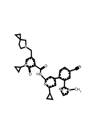 Cn1ccnc1-c1cc(C#N)ccc1-c1cc(NC(=O)c2cc(CN3CCC4(CC4)C3)cn(C3CC3)c2=O)nc(C2CC2)c1